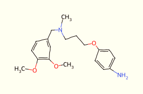 COc1ccc(CN(C)CCCOc2ccc(N)cc2)cc1OC